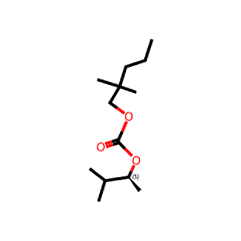 CCCC(C)(C)COC(=O)O[C@@H](C)C(C)C